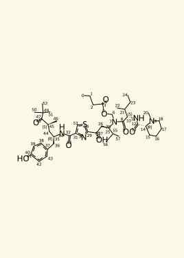 CCCC(=O)OCN(C(=O)[C@@H](NC(=O)[C@H]1CCCCN1C)C(C)CC)[C@H](C[C@@H](O)c1nc(C(=O)N[C@@H](Cc2ccc(O)cc2)C[C@H](C)C(=O)C(C)(C)C)cs1)C(C)C